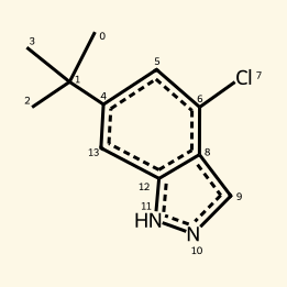 CC(C)(C)c1cc(Cl)c2cn[nH]c2c1